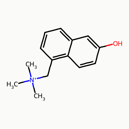 C[N+](C)(C)Cc1cccc2cc(O)ccc12